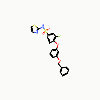 O=S(=O)(Nc1nccs1)c1ccc(Oc2cccc(OCc3ccccc3)c2)c(F)c1